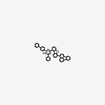 c1ccc(C2=NC(c3cccc4oc5c(-c6ccc7c8c(cccc68)-c6ccccc6-7)cccc5c34)=NC(c3ccc(-c4ccccc4)cc3)N2)cc1